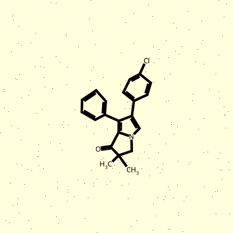 CC1(C)Cn2cc(-c3ccc(Cl)cc3)c(-c3ccccc3)c2C1=O